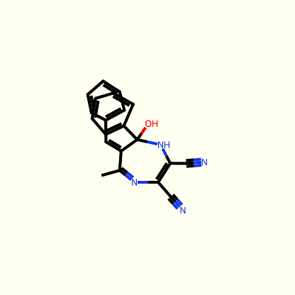 CC1=NC(C#N)=C(C#N)NC(O)(c2ccccc2)C1=Cc1ccccc1